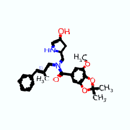 COc1cc(C(=O)N(C/C(C)=C/c2ccccc2)CC2CC(O)CN2)cc2c1OC(C)(C)O2